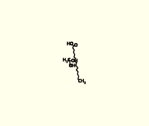 CC(O)CO.CCCCCCCCCCCCCCCCC(=O)O